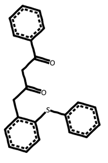 O=C(CC(=O)c1ccccc1)Cc1ccccc1Sc1ccccc1